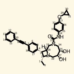 CC[C@@H]1[C@H](c2ccc(C#Cc3ccccc3)cc2)[C@@H]2CN(C(=O)Nc3ccc(OC4CC4)cc3)C[C@@H](O)[C@@H](O)CN12